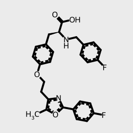 Cc1oc(-c2ccc(F)cc2)nc1CCOc1ccc(C[C@H](NCc2ccc(F)cc2)C(=O)O)cc1